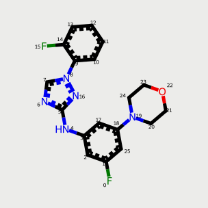 Fc1cc(Nc2ncn(-c3ccccc3F)n2)cc(N2CCOCC2)c1